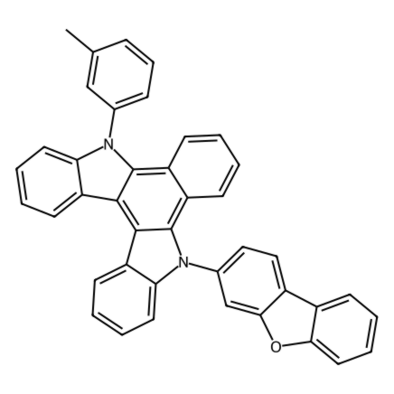 Cc1cccc(-n2c3ccccc3c3c4c5ccccc5n(-c5ccc6c(c5)oc5ccccc56)c4c4ccccc4c32)c1